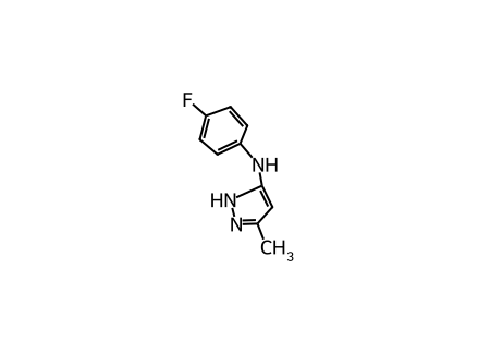 Cc1cc(Nc2ccc(F)cc2)[nH]n1